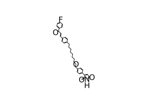 O=C1C=C(c2ccc(COCCCCCCCCc3ccc(C=CC(=O)c4ccc(F)cc4)cc3)cc2)C(=O)N1